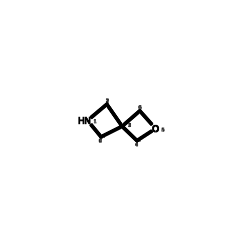 [CH]1NCC12[CH]OC2